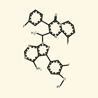 CC(C)Oc1ccc(-c2nn(C(C)c3nc4c(F)cccn4c(=O)c3-c3cccc(F)c3)c3ncnc(N)c23)cc1F